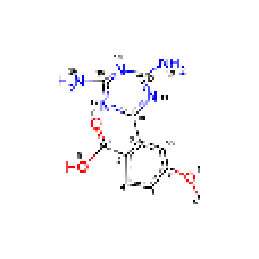 COc1ccc(C(=O)O)c(-c2nc(N)nc(N)n2)c1